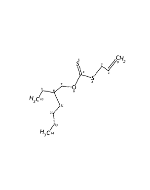 C=CCSC(=S)OCC(CC)CCCC